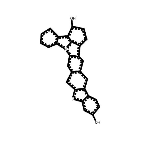 Oc1ccc2c(c1)sc1cc3cc4c(cc3cc12)c1ccc(O)c2c3ccccc3n4c12